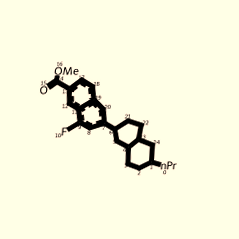 CCCC1CCC2CC(c3cc(F)c4cc(C(=O)OC)ccc4c3)CCC2C1